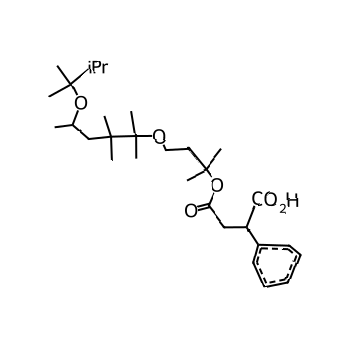 CC(CC(C)(C)C(C)(C)OCCC(C)(C)OC(=O)CC(C(=O)O)c1ccccc1)OC(C)(C)C(C)C